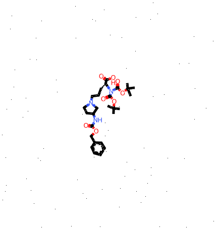 CC(C)(C)OC(=O)N(C(=O)OC(C)(C)C)[C@@H](CCCN1CCC(NC(=O)OCc2ccccc2)C1)C(=O)O